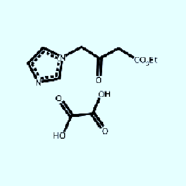 CCOC(=O)CC(=O)Cn1ccnc1.O=C(O)C(=O)O